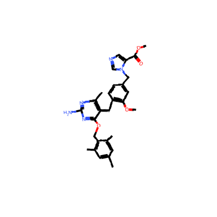 COC(=O)c1cncn1Cc1ccc(Cc2c(C)nc(N)nc2OCc2c(C)cc(C)cc2C)c(OC)c1